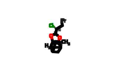 CC(C)C[C@@H](Cl)B1OC2CC3CC(C3(C)C)[C@]2(C)O1